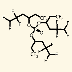 O=P(OC(CC(F)(F)F)CC(F)(F)C(F)F)(OC(CC(F)(F)F)CC(F)(F)C(F)F)OC(CC(F)(F)F)CC(F)(F)C(F)F